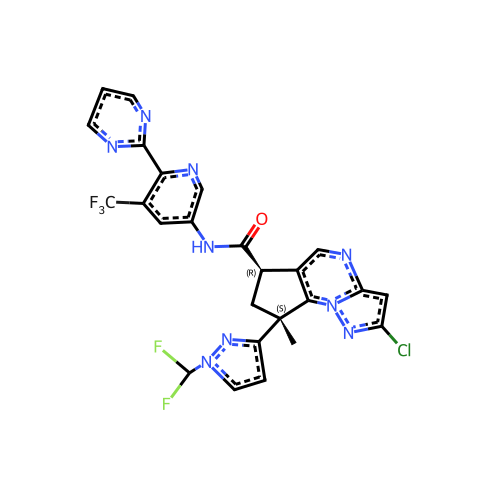 C[C@@]1(c2ccn(C(F)F)n2)C[C@@H](C(=O)Nc2cnc(-c3ncccn3)c(C(F)(F)F)c2)c2cnc3cc(Cl)nn3c21